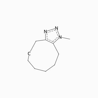 Cn1nnc2c1CCCCCCC2